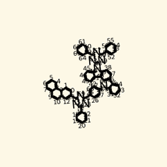 C1=CC2c3ccccc3C=CC2C=C1c1nc(-c2ccccc2)nc(-c2ccc(-n3c4ccccc4c4ccc5c(c6ccccc6n5-c5nc(-c6ccccc6)nc(-c6ccccc6)n5)c43)cc2)n1